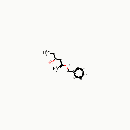 C=C(CC(O)CC)OCc1ccccc1